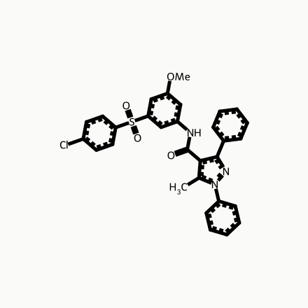 COc1cc(NC(=O)c2c(-c3ccccc3)nn(-c3ccccc3)c2C)cc(S(=O)(=O)c2ccc(Cl)cc2)c1